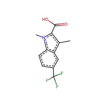 Cc1c(C(=O)O)n(C)c2ccc(C(F)(F)F)cc12